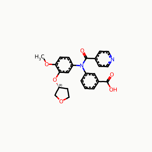 COc1ccc(N(C(=O)c2ccncc2)c2cccc(C(=O)O)c2)cc1O[C@@H]1CCOC1